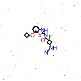 N#CNC1CC(F)(C(=O)Nc2nc3cccc(OC4CCC4)c3s2)C1